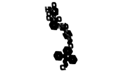 O=C1CCC(N2C(=O)c3cccc(NCC(=O)N4CCN(CCOc5ccc(C(=C(CCCl)c6ccccc6)c6ccccc6)cc5)CC4)c3C2=O)C(=O)N1